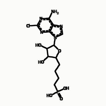 Nc1nc(Cl)nc2c1ncn2C1OC(CCCCP(=O)(O)O)C(O)C1O